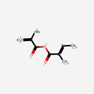 C=C(CCCC)C(=O)OC(=O)C(C)=CC